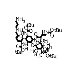 CN(C(=O)OC(C)(C)C)[C@@H]1[C@@H](O)[C@@H](O[C@H]2[C@H](NC(=O)[C@@H](O)CCNC(=O)OC(C)(C)C)C[C@H](NC(=O)OC(C)(C)C)C([C@H]3OC(CNCCCN)=CC[C@H]3NC(=O)OC(C)(C)C)[C@@H]2O)OC[C@]1(C)O